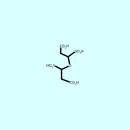 O=C(O)CC(OC(CC(=O)O)S(=O)(=O)O)S(=O)(=O)O